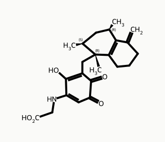 C=C1CCCC2=C1[C@H](C)C[C@H](C)[C@@]2(C)CC1=C(O)C(NCC(=O)O)=CC(=O)C1=O